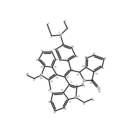 CCN(CC)c1ccc(C(=C(c2c(C)n(CC)c3ccccc23)c2c(C)n(CC)c3ccccc23)C2OC(=O)c3ccccc32)cc1